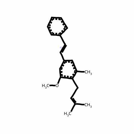 COc1cc(/C=C/c2ccccc2)cc(C)c1CC=C(C)C